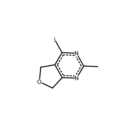 Cc1nc(I)c2c(n1)COC2